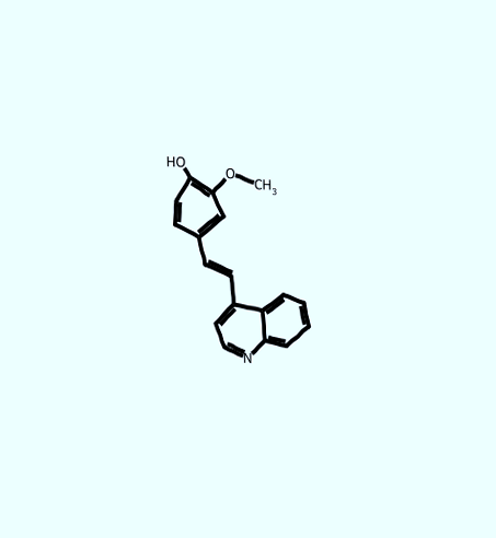 COc1cc(C=Cc2ccnc3ccccc23)ccc1O